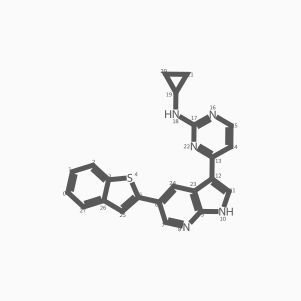 c1ccc2sc(-c3cnc4[nH]cc(-c5ccnc(NC6CC6)n5)c4c3)cc2c1